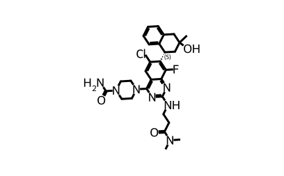 CN(C)C(=O)CCNc1nc(N2CCN(C(N)=O)CC2)c2cc(Cl)c([C@H]3CC(C)(O)Cc4ccccc43)c(F)c2n1